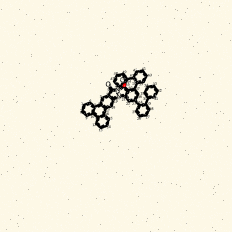 O=c1c2cc3c4ccccc4c4ccccc4c3cc2n2c3cc(-c4ccccc4-c4ccccc4)cc(-c4ccccc4-c4ccccc4)c3c(=O)n12